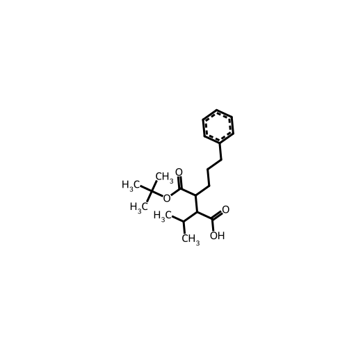 CC(C)C(C(=O)O)C(CCCc1ccccc1)C(=O)OC(C)(C)C